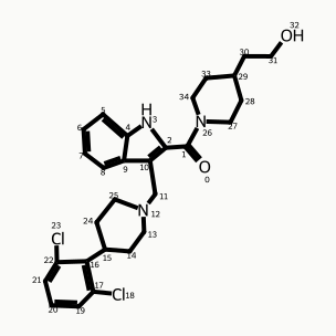 O=C(c1[nH]c2ccccc2c1CN1CCC(c2c(Cl)cccc2Cl)CC1)N1CCC(CCO)CC1